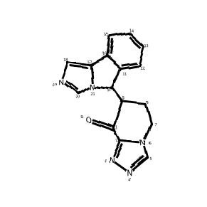 O=C1c2nncn2CCC1C1c2ccccc2-c2cncn21